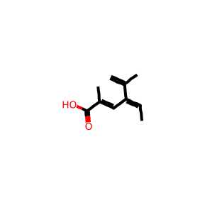 C=C(C)C(/C=C(\C)C(=O)O)=C/C